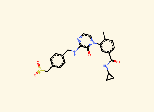 Cc1ccc(C(=O)NC2CC2)cc1-n1ccnc(NCc2ccc(C[SH](=O)=O)cc2)c1=O